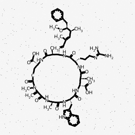 C=C1C(=O)N[C@H](C)C(=O)N[C@@H](Cc2c[nH]c3ccccc23)C(=O)N[C@@H](C(=O)O)[C@H](C)C(=O)N[C@@H](CCCN=C(N)N)C(=O)N[C@@H](/C=C/C(C)=C/[C@H](C)[C@H](Cc2ccccc2)OC)[C@H](C)C(=O)N[C@@H](C(=O)O)CCC(=O)N1C